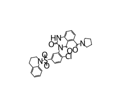 O=C(c1cccc2[nH]c(=O)n(-c3cc(S(=O)(=O)N4CCCc5ccccc54)ccc3Cl)c(=O)c12)N1CCCC1